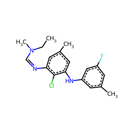 CCN(C)/C=N\c1cc(C)cc(Nc2cc(C)cc(F)c2)c1Cl